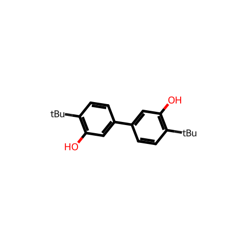 CC(C)(C)c1ccc(-c2ccc(C(C)(C)C)c(O)c2)cc1O